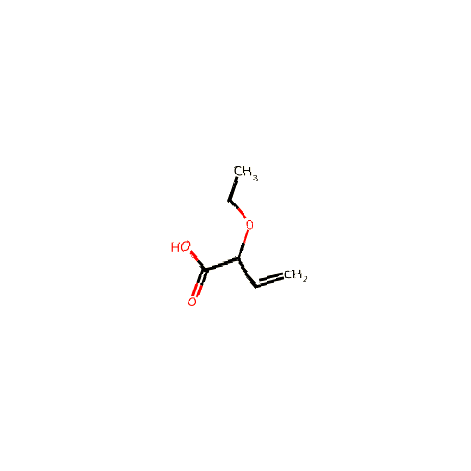 C=CC(OCC)C(=O)O